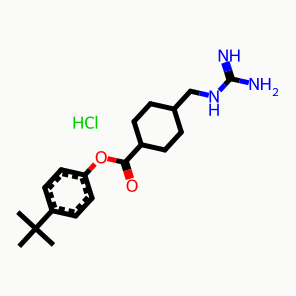 CC(C)(C)c1ccc(OC(=O)C2CCC(CNC(=N)N)CC2)cc1.Cl